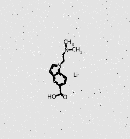 CN(C)CCn1ccc2cc(C(=O)O)ccc21.[Li]